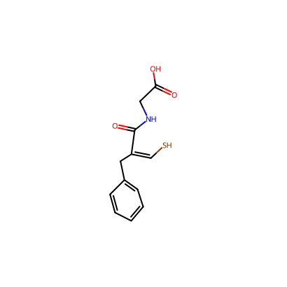 O=C(O)CNC(=O)C(=CS)Cc1ccccc1